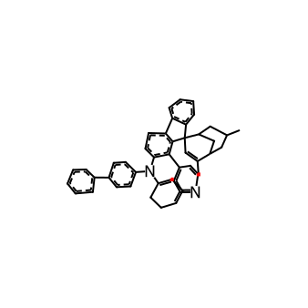 CC1=CC2(c3ccccc3-c3ccc(N(C4=CC=CCC4)c4ccc(-c5ccccc5)cc4)c(C4=C=C=NC=C4)c32)C2CC(C)CC1C2